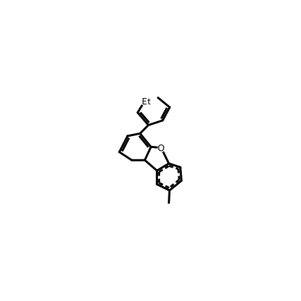 C/C=C\C(=C/CC)C1=C2Oc3ccc(C)cc3C2CC=C1